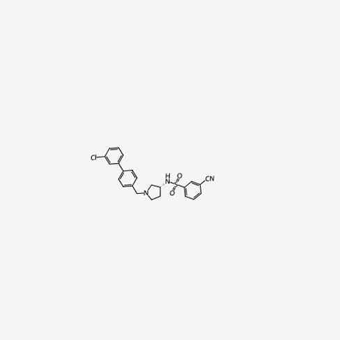 N#Cc1cccc(S(=O)(=O)N[C@@H]2CCN(Cc3ccc(-c4cccc(Cl)c4)cc3)C2)c1